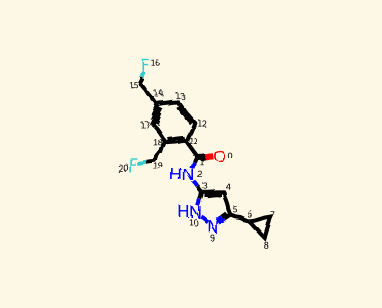 O=C(Nc1cc(C2CC2)n[nH]1)c1ccc(CF)cc1CF